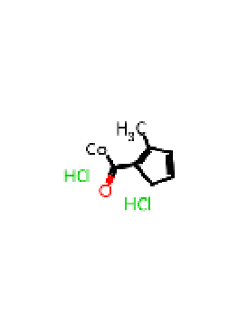 CC1=C([C](=O)[Co])CC=C1.Cl.Cl